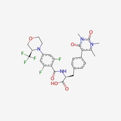 Cc1c(-c2ccc(C[C@H](NC(=O)c3c(F)cc(N4CCOC[C@@H]4C(F)(F)F)cc3F)C(=O)O)cc2)c(=O)n(C)c(=O)n1C